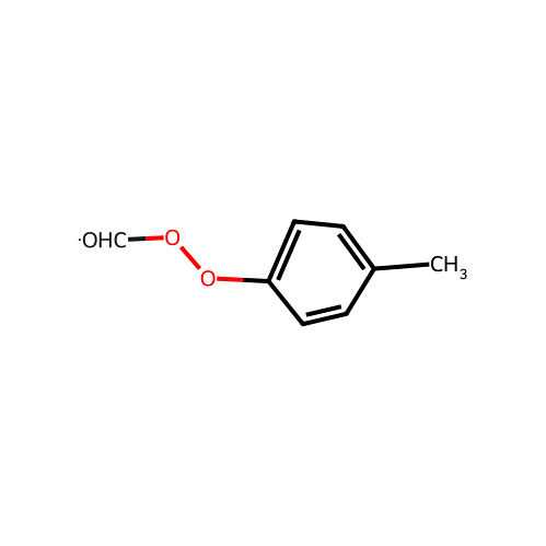 Cc1ccc(OO[C]=O)cc1